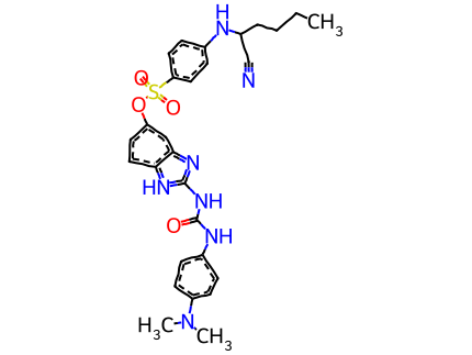 CCCCC(C#N)Nc1ccc(S(=O)(=O)Oc2ccc3[nH]c(NC(=O)Nc4ccc(N(C)C)cc4)nc3c2)cc1